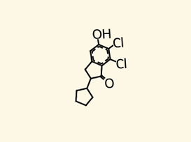 O=C1c2c(cc(O)c(Cl)c2Cl)CC1C1CCCC1